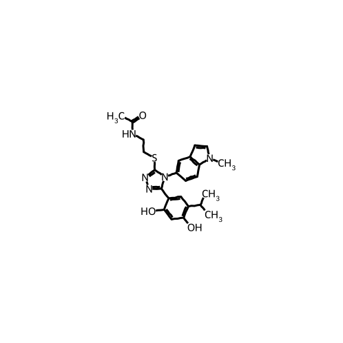 CC(=O)NCCSc1nnc(-c2cc(C(C)C)c(O)cc2O)n1-c1ccc2c(ccn2C)c1